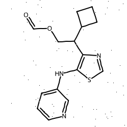 O=COCC(c1ncsc1Nc1cccnc1)C1CCC1